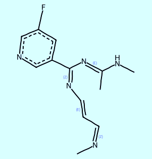 C\N=C/C=C/N=C(\N=C(/C)NC)c1cncc(F)c1